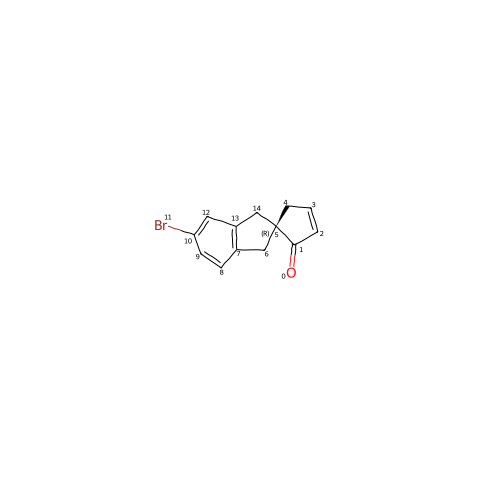 O=C1C=CC[C@]12Cc1ccc(Br)cc1C2